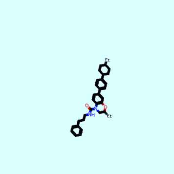 CCC1CCC(c2ccc(-c3ccc4c(c3)OC(CC)CN4C(=O)NCCCc3ccccc3)cc2)CC1